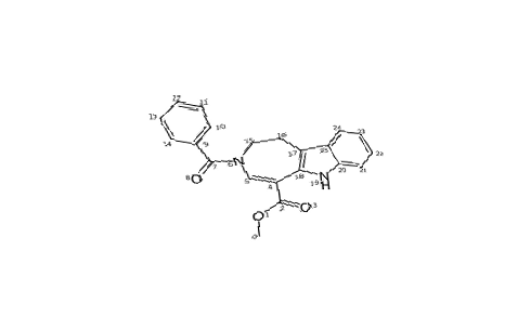 COC(=O)C1=CN(C(=O)c2ccccc2)CCc2c1[nH]c1ccccc21